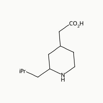 CC(C)CC1CC(CC(=O)O)CCN1